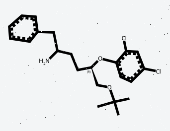 CC(C)(C)OC[C@@H](CCC(N)Cc1ccccc1)Oc1ccc(Cl)cc1Cl